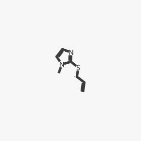 C=C[CH]Sc1nccn1C